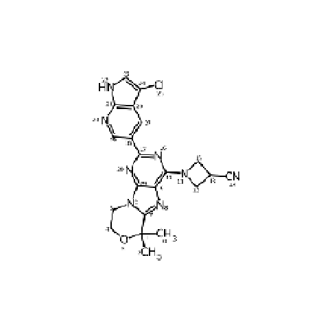 CC1(C)OCCn2c1nc1c(N3CC(C#N)C3)nc(-c3cnc4[nH]cc(Cl)c4c3)nc12